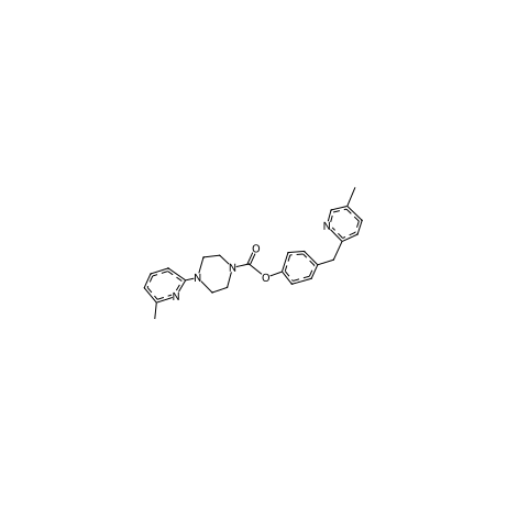 Cc1ccc(Cc2ccc(OC(=O)N3CCN(c4cccc(C)n4)CC3)cc2)nc1